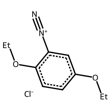 CCOc1ccc(OCC)c([N+]#N)c1.[Cl-]